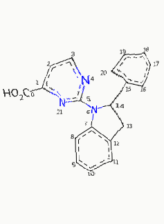 O=C(O)c1ccnc(N2c3ccccc3CC2c2ccccc2)n1